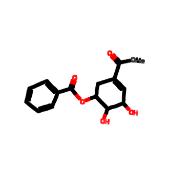 COC(=O)C1=CC(O)C(O)C(OC(=O)c2ccccc2)C1